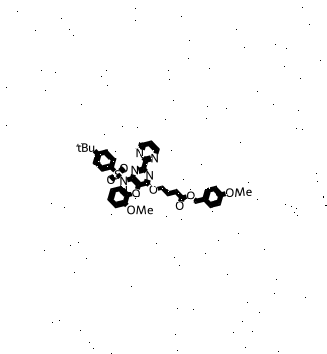 COc1ccc(COC(=O)CCCOc2nc(-c3ncccn3)nc(NS(=O)(=O)c3ccc(C(C)(C)C)cc3)c2Oc2ccccc2OC)cc1